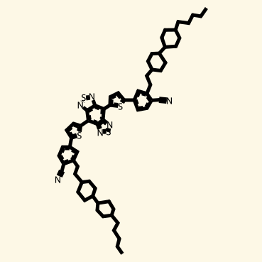 CCCCCC1CCC(C2CCC(CCc3cc(-c4ccc(-c5c6c(c(-c7ccc(-c8ccc(C#N)c(CCC9CCC(C%10CCC(CCCCC)CC%10)CC9)c8)s7)c7nsnc57)N=S=N6)s4)ccc3C#N)CC2)CC1